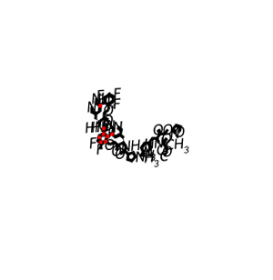 COC(C)(C)C(=O)NC(Cc1ccc(NC2CCC(C(=O)N[C@@H](Cc3cnc(N)c(C4CCCC4C(=O)N[C@H](Cc4ccc(N)nc4)C(=O)COc4c(F)c(F)cc(F)c4F)c3)C(=O)COc3c(F)c(F)cc(F)c3F)C2)nc1)C(=O)COc1ccon1